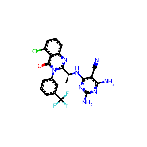 C[C@H](Nc1nc(N)nc(N)c1C#N)c1nc2cccc(Cl)c2c(=O)n1-c1cccc(C(F)(F)F)c1